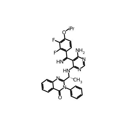 CC(C)Oc1ccc(C(=N)c2c(N)ncnc2N[C@H](C)c2nc3ccccc3c(=O)n2-c2ccccc2)c(F)c1F